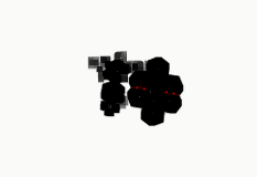 C[Si](C)(C)c1ccc(-c2nc(C(=O)O)c(Cl)c(N)c2F)cc1F.[Cl][Pd]([Cl])([PH](c1ccccc1)(c1ccccc1)c1ccccc1)[PH](c1ccccc1)(c1ccccc1)c1ccccc1